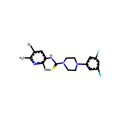 CCc1cc(NC(=S)N2CCN(c3cc(F)cc(F)c3)CC2)c(OC)nc1C